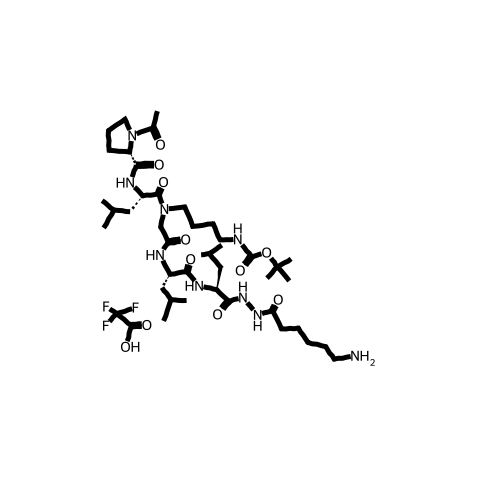 CC(=O)N1CCC[C@H]1C(=O)N[C@@H](CC(C)C)C(=O)N(CCCCNC(=O)OC(C)(C)C)CC(=O)N[C@@H](CC(C)C)C(=O)N[C@@H](CC(C)C)C(=O)NNC(=O)CCCCCN.O=C(O)C(F)(F)F